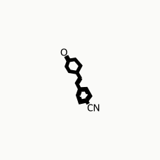 N#Cc1ccc(C=CC2CCC(=O)CC2)cc1